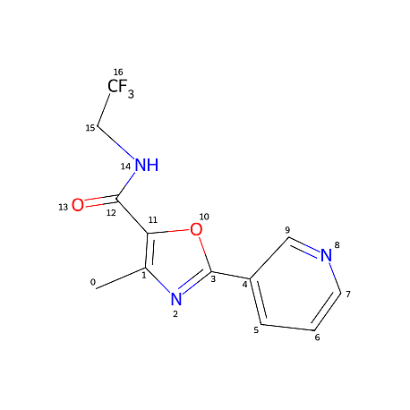 Cc1nc(-c2cccnc2)oc1C(=O)NCC(F)(F)F